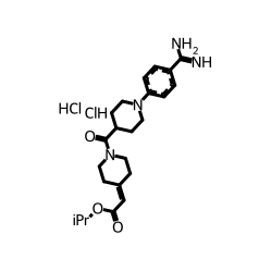 CC(C)OC(=O)C=C1CCN(C(=O)C2CCN(c3ccc(C(=N)N)cc3)CC2)CC1.Cl.Cl